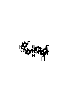 O=C(c1cc(F)ccc1F)N1CCCC(CNc2nc(-c3c[nH]c4ncc(Cl)cc34)ncc2F)C1